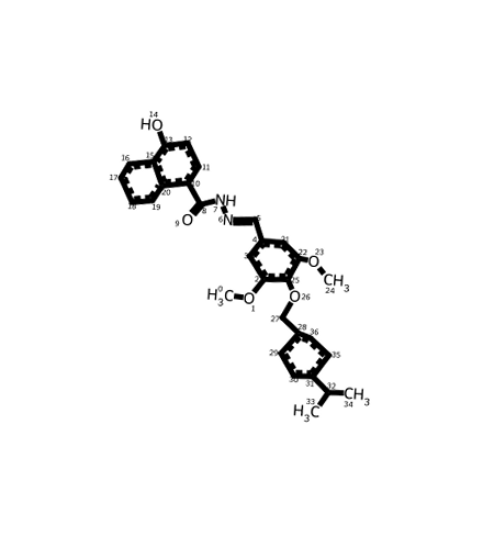 COc1cc(/C=N/NC(=O)c2ccc(O)c3ccccc23)cc(OC)c1OCc1ccc(C(C)C)cc1